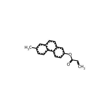 C=CC(=O)Oc1ccc2c(ccc3cc(C)ccc32)c1